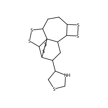 C1NC(C2CC3C4SSC4CCC4SSC5C2CSSCC435)CS1